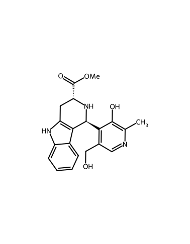 COC(=O)[C@H]1Cc2[nH]c3ccccc3c2[C@H](c2c(CO)cnc(C)c2O)N1